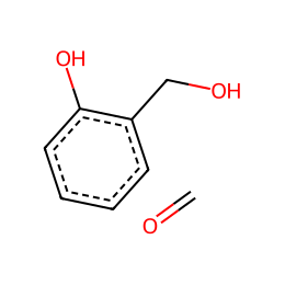 C=O.OCc1ccccc1O